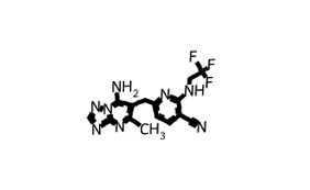 Cc1nc2ncnn2c(N)c1Cc1ccc(C#N)c(NCC(F)(F)F)n1